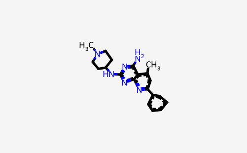 Cc1cc(-c2ccccc2)nc2nc(NC3CCN(C)CC3)nc(N)c12